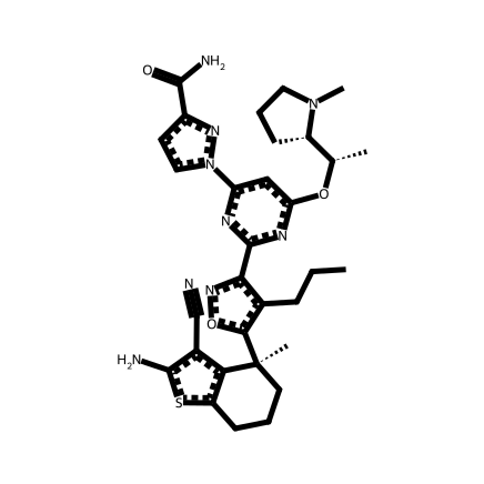 CCCc1c(-c2nc(O[C@@H](C)[C@@H]3CCCN3C)cc(-n3ccc(C(N)=O)n3)n2)noc1[C@@]1(C)CCCc2sc(N)c(C#N)c21